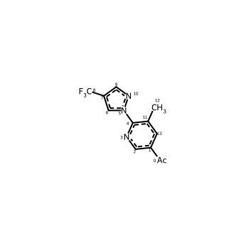 CC(=O)c1cnc(-n2cc(C(F)(F)F)cn2)c(C)c1